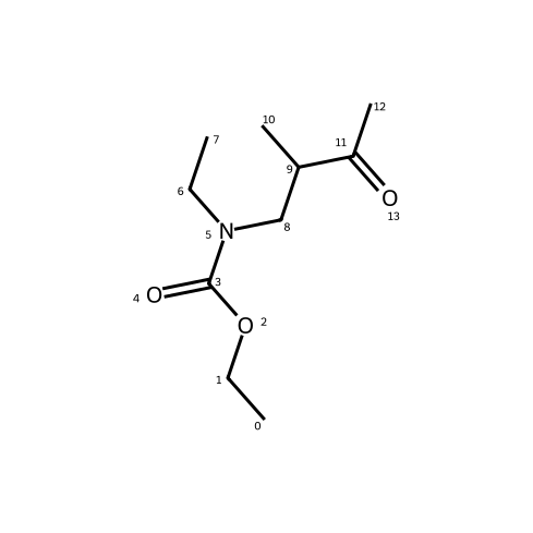 CCOC(=O)N(CC)CC(C)C(C)=O